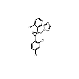 Clc1ccc(C2O[C@]2(Cn2[c]ncn2)c2ccccc2Cl)c(Cl)c1